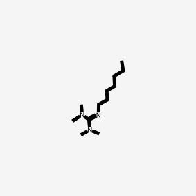 CCCCCCCN=C(N(C)C)N(C)C